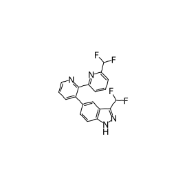 FC(F)c1cccc(-c2ncccc2-c2ccc3[nH]nc(C(F)F)c3c2)n1